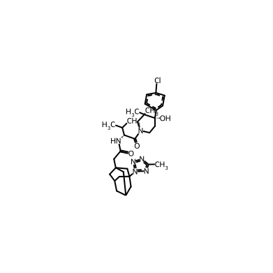 Cc1nnn(C23CC4CC(CC(CC(=O)N[C@@H](C(=O)N5CC[C@](O)(c6ccc(Cl)cc6)C(C)(C)C5)C(C)C)(C4)C2)C3)n1